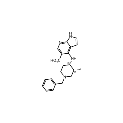 C[C@@H]1CN(Cc2ccccc2)CC[C@@H]1Nc1c(C(=O)O)cnc2[nH]ccc12